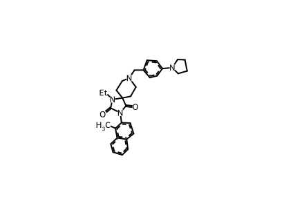 CCN1C(=O)N(c2ccc3ccccc3c2C)C(=O)C12CCN(Cc1ccc(N3CCCC3)cc1)CC2